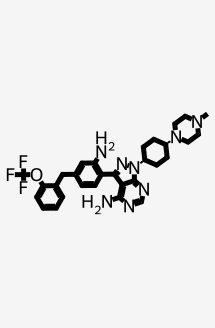 CN1CCN([C@H]2CC[C@@H](n3nc(-c4ccc(Cc5ccccc5OC(F)(F)F)cc4N)c4c(N)ncnc43)CC2)CC1